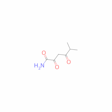 CC(C)C(=O)CC(=O)C(N)=O